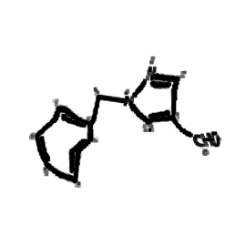 O=[C]c1cnn(Cc2ccccc2)c1